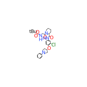 CC(C)(C)OC(=O)NCC(=O)N1CCCCC1C(=O)Nc1ccc(OC2CCN(c3ccccc3)CC2)c(Cl)c1